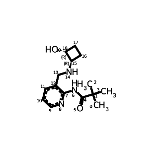 CC(C)(C)C(=O)Nc1ncccc1CN[C@@H]1CC[C@H]1O